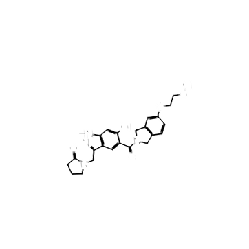 COCCOc1ccc2c(c1)CN(C(=O)c1cc3c(CN4CCCC4=O)n[nH]c3cc1O)C2